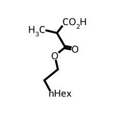 CCCCCCCCOC(=O)C(C)C(=O)O